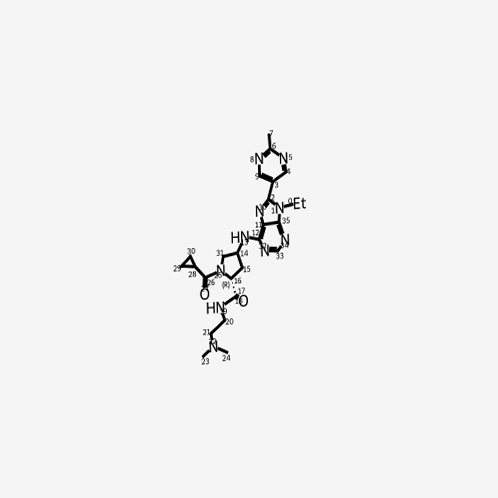 CCn1c(-c2cnc(C)nc2)nc2c(NC3C[C@H](C(=O)NCCN(C)C)N(C(=O)C4CC4)C3)ncnc21